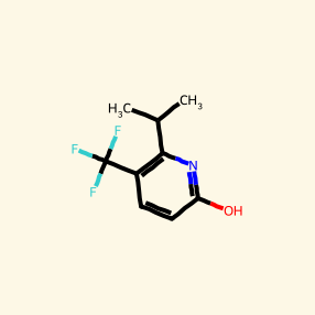 CC(C)c1nc(O)ccc1C(F)(F)F